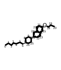 CCCCCCC[C@H]1CC[C@H](c2ccc3cc(OCCC)ccc3c2)CC1